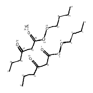 CCCCOOC(=O)CC(=O)CCC.CCCCOOC(=O)CC(=O)CCC.[Hf]